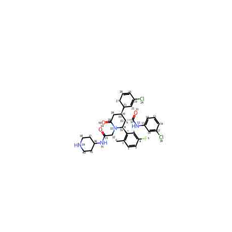 Cc1ccc(F)cc1[C@@H]1[C@@H](C(=O)Nc2cccc(Cl)c2)[C@H](C2C=C(Cl)C=CC2)CC(=O)N1CC(=O)NC1CCNCC1